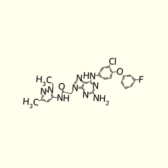 CCn1nc(C)cc1NC(=O)Cn1cnc2c(Nc3ccc(Oc4cccc(F)c4)c(Cl)c3)nc(N)nc21